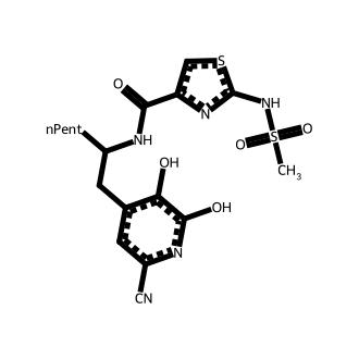 CCCCCC(Cc1cc(C#N)nc(O)c1O)NC(=O)c1csc(NS(C)(=O)=O)n1